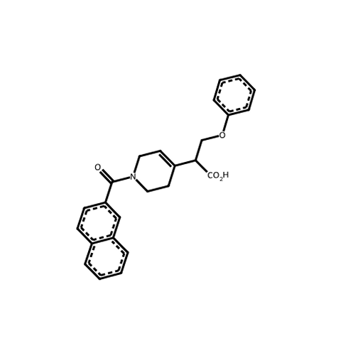 O=C(O)C(COc1ccccc1)C1=CCN(C(=O)c2ccc3ccccc3c2)CC1